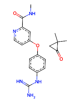 CC1(C)CC1=O.CNC(=O)c1cc(Oc2ccc(NC(=N)N)cc2)ccn1